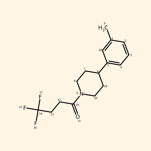 Cc1cccc(C2CCN(C(=O)CCC(F)(F)F)CC2)c1